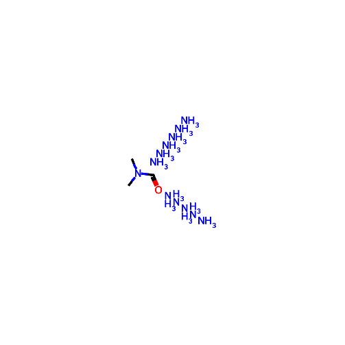 CN(C)C=O.N.N.N.N.N.N.N.N.N.N.N